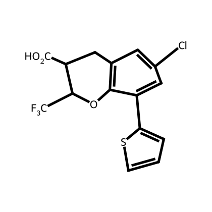 O=C(O)C1Cc2cc(Cl)cc(-c3cccs3)c2OC1C(F)(F)F